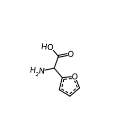 NC(C(=O)O)c1ccco1